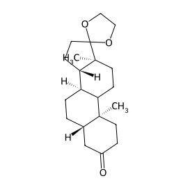 C[C@]12CCC3[C@@H](CC[C@H]4CC(=O)CC[C@]34C)[C@@H]1CCC21OCCO1